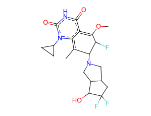 COC1=c2c(=O)[nH]c(=O)n(C3CC3)c2=C(C)C(N2CC3CC(F)(F)C(O)C3C2)C1F